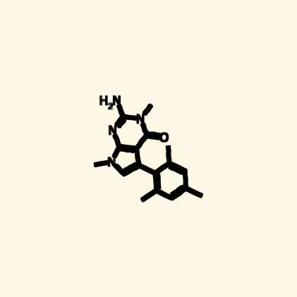 Cc1cc(C)c(-c2cn(C)c3nc(N)n(C)c(=O)c23)c(C)c1